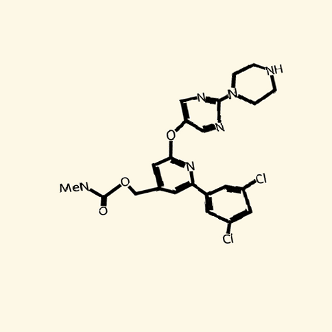 CNC(=O)OCc1cc(Oc2cnc(N3CCNCC3)nc2)nc(-c2cc(Cl)cc(Cl)c2)c1